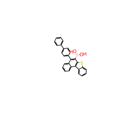 OB(O)c1c(-c2ccc(-c3ccccc3)cc2)c2ccccc2c2c1sc1ccccc12